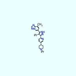 Cc1cc(-c2[nH]nc(-c3ccc(C4CCN(C(C)C)CC4)cn3)c2C(C)C)cn2ncnc12